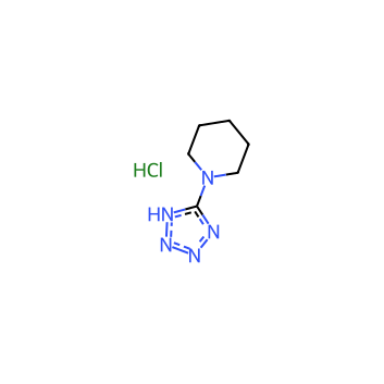 C1CCN(c2nnn[nH]2)CC1.Cl